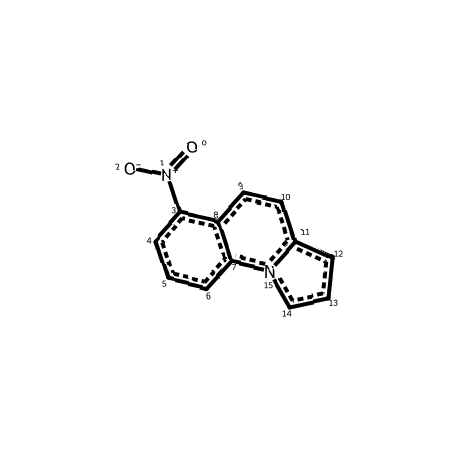 O=[N+]([O-])c1cccc2c1ccc1cccn12